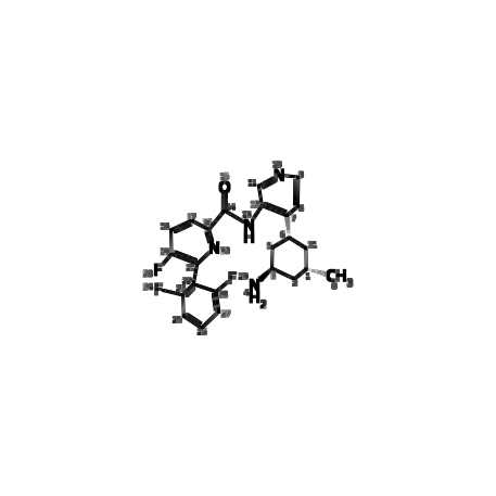 C[C@@H]1C[C@@H](N)C[C@H](c2ccncc2NC(=O)c2ccc(F)c(-c3c(F)cccc3F)n2)C1